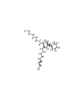 CCCCCCCCCc1cc[n+](-c2ccccc2)cc1CCCCCCCCC